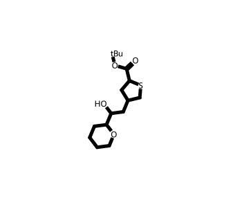 CC(C)(C)OC(=O)C1CC(CC(O)C2CCCCO2)CS1